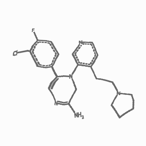 NC1=NC=C(c2ccc(F)c(Cl)c2)N(c2cnccc2CCN2CCCC2)C1